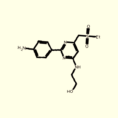 CCS(=O)(=O)Cc1cc(NCCO)nc(-c2ccc(N)cc2)n1